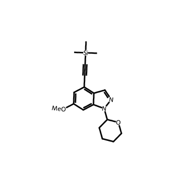 COc1cc(C#C[Si](C)(C)C)c2cnn(C3CCCCO3)c2c1